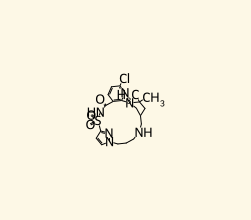 CC1(C)CC2CNCCCn3ccc(n3)S(=O)(=O)NC(=O)c3ccc(Cl)nc3N1C2